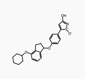 [O-][s+]1nc(O)cc1-c1ccc(OC2CCc3c(OC4CCCCC4)cccc32)cc1